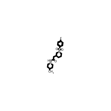 CC1CCN(NC(=O)CC2CCCN(S(=O)(=O)c3ccc(F)cc3)C2)CC1